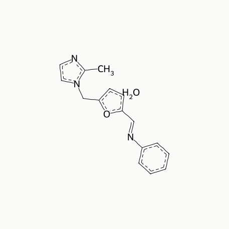 Cc1nccn1Cc1ccc(C=Nc2ccccc2)o1.O